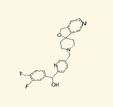 OC(c1ccc(F)c(F)c1)c1ccc(CN2CCC3(CC2)OCc2ccncc23)cn1